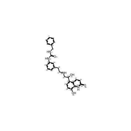 O=C(NCc1ccccc1)Nc1cccc(CCNCC(O)c2ccc(O)c3[nH]c(=O)ccc23)c1